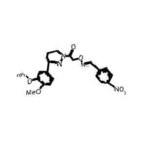 CCCOc1cc(C2=NN(C(=O)CO/N=C/c3ccc([N+](=O)[O-])cc3)CCC2)ccc1OC